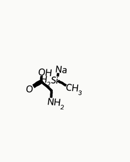 C[SiH2][Na].NCC(=O)O